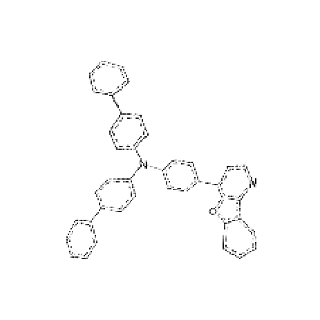 c1ccc(-c2ccc(N(c3ccc(-c4ccccc4)cc3)c3ccc(-c4ccnc5c4oc4ccccc45)cc3)cc2)cc1